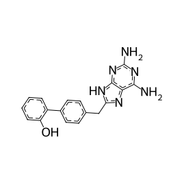 Nc1nc(N)c2nc(Cc3ccc(-c4ccccc4O)cc3)[nH]c2n1